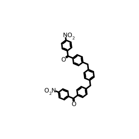 O=C(c1ccc(Cc2ccc(Cc3ccc(C(=O)c4ccc([N+](=O)[O-])cc4)cc3)cc2)cc1)c1ccc([N+](=O)[O-])cc1